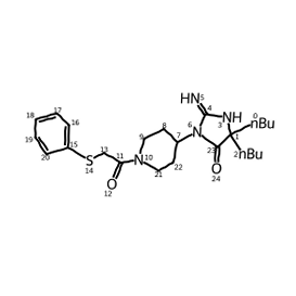 CCCCC1(CCCC)NC(=N)N(C2CCN(C(=O)CSc3ccccc3)CC2)C1=O